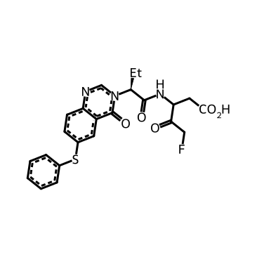 CC[C@@H](C(=O)NC(CC(=O)O)C(=O)CF)n1cnc2ccc(Sc3ccccc3)cc2c1=O